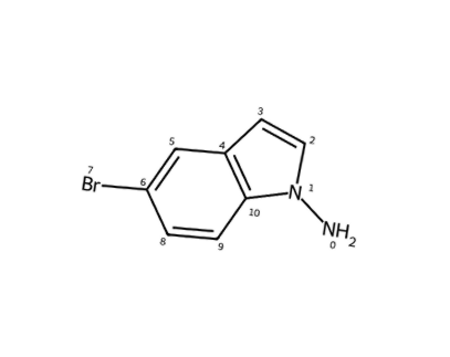 Nn1ccc2cc(Br)ccc21